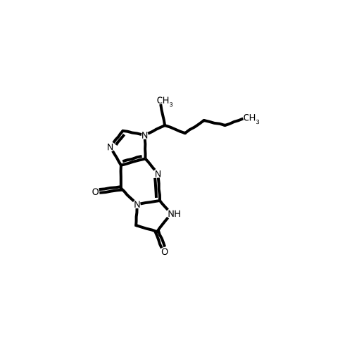 CCCCC(C)n1cnc2c(=O)n3c(nc21)NC(=O)C3